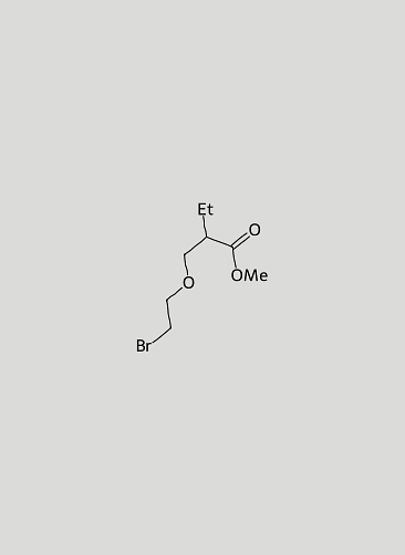 CCC(COCCBr)C(=O)OC